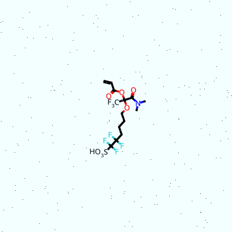 C=CC(=O)OC(OCCCCC(F)(F)C(F)(F)S(=O)(=O)O)(C(=O)N(C)C)C(F)(F)F